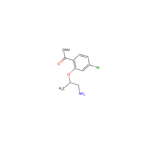 COC(=O)c1ccc(Br)cc1OC(C)CN